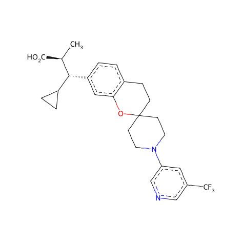 C[C@H](C(=O)O)[C@H](c1ccc2c(c1)OC1(CC2)CCN(c2cncc(C(F)(F)F)c2)CC1)C1CC1